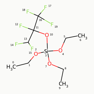 CCO[Si](OCC)(OCC)OC(F)(C(F)F)C(F)(F)F